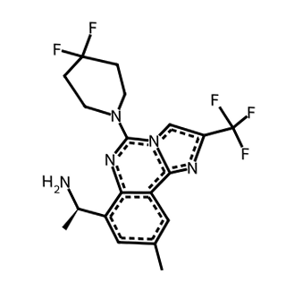 Cc1cc([C@@H](C)N)c2nc(N3CCC(F)(F)CC3)n3cc(C(F)(F)F)nc3c2c1